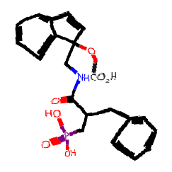 O=C(O)OC1(CNC(=O)C(Cc2ccccc2)CP(=O)(O)O)C=Cc2ccccc21